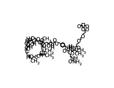 C=C1C[C@@H]2CC[C@@]34CC5O[C@@H]6C(O[C@H]7CCC(CC(=O)C[C@H]8[C@H](CC9O[C@@H](CCC1O2)C[C@@H](C)C9=C)OC(C[C@H](O)CNC(=O)OCc1ccc(NC(=O)[C@H](CCCNC(N)=O)NC(=O)[C@@H](NC(=O)CCOCCOCCC(=O)ON2C(=O)CCC2=O)C(C)C)cc1)[C@@H]8OC)O[C@@H]7[C@@H]6O3)[C@@H]5O4